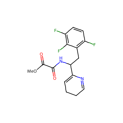 COC(=O)C(=O)NC(Cc1c(F)ccc(F)c1F)C1=CCCC=N1